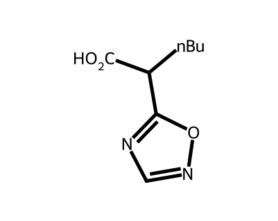 CCCCC(C(=O)O)c1ncno1